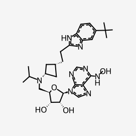 CC(C)N(C[C@H]1O[C@@H](n2cnc3c(NO)ncnc32)[C@H](O)[C@@H]1O)[C@H]1C[C@@H](CCc2nc3cc(C(C)(C)C)ccc3[nH]2)C1